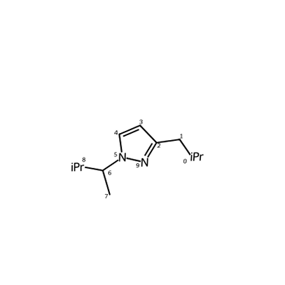 CC(C)Cc1ccn(C(C)C(C)C)n1